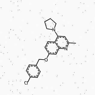 Cc1cc(N2CCCC2)c2ccc(OCc3ccc(Cl)cc3)cc2n1